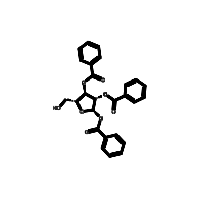 O=C(O[C@H]1O[C@H](CO)[C@@H](OC(=O)c2ccccc2)[C@@H]1OC(=O)c1ccccc1)c1ccccc1